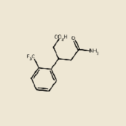 NC(=O)CC(CC(=O)O)c1ccccc1C(F)(F)F